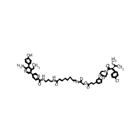 CCc1c(-c2ccc(C(=O)NCCCNC(=O)CCCCCCCNC(=O)COC(=O)CCc3ccc4c(c3)OC3(CCN(C(=O)[C@H](c5ccc(Cl)cc5)C(C)C)CC3)O4)nc2)cnc(N)c1-c1ccc(O)cc1